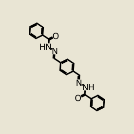 O=C(N/N=C/c1ccc(/C=N/NC(=O)c2ccccc2)cc1)c1ccccc1